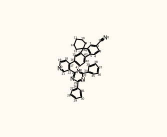 N#Cc1ccc2c(c1)C1(CCCCC1)c1cc(-c3ccncc3-c3nc(-c4ccccc4)nc(-c4ccccc4)n3)ccc1-2